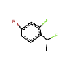 CC(F)c1ccc(Br)cc1F